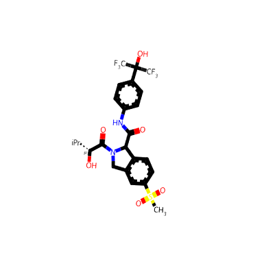 CC(C)[C@@H](O)C(=O)N1Cc2cc(S(C)(=O)=O)ccc2C1C(=O)Nc1ccc(C(O)(C(F)(F)F)C(F)(F)F)cc1